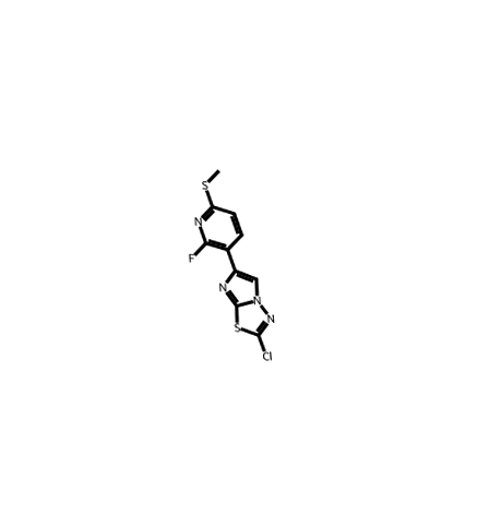 CSc1ccc(-c2cn3nc(Cl)sc3n2)c(F)n1